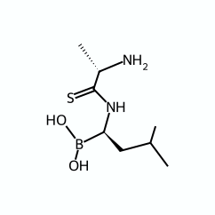 CC(C)C[C@H](NC(=S)[C@H](C)N)B(O)O